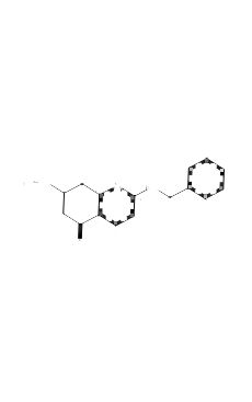 CCCCCC1CC(=O)c2ccc(OCc3ccccc3)nc2C1